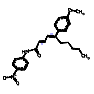 CCCCC/C(=C\C=C\C(=O)Nc1ccc([N+](=O)[O-])cc1)c1ccc(OC)cc1